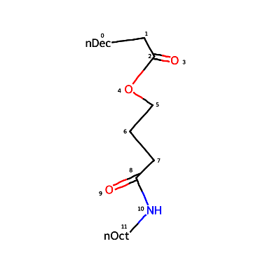 CCCCCCCCCCCC(=O)OCCCC(=O)NCCCCCCCC